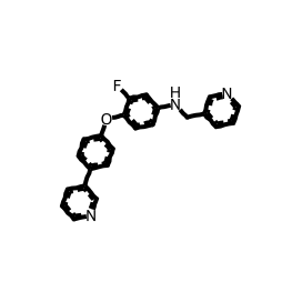 Fc1cc(NCc2cccnc2)ccc1Oc1ccc(-c2cccnc2)cc1